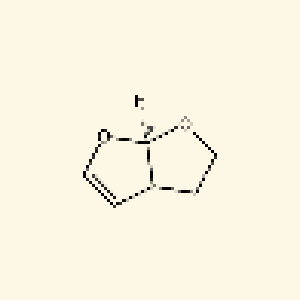 C1=CC2CCO[C@@H]2O1